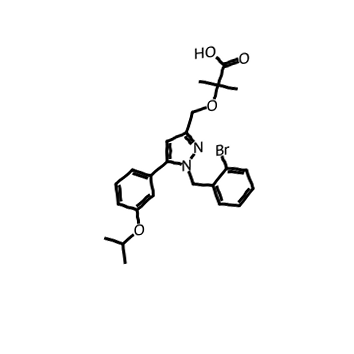 CC(C)Oc1cccc(-c2cc(COC(C)(C)C(=O)O)nn2Cc2ccccc2Br)c1